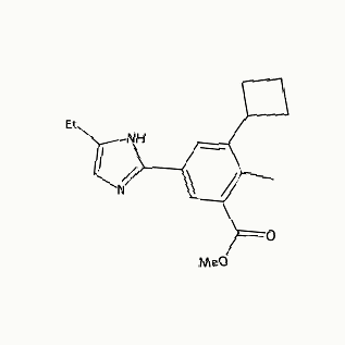 CCc1cnc(-c2cc(C(=O)OC)c(C)c(C3CCC3)c2)[nH]1